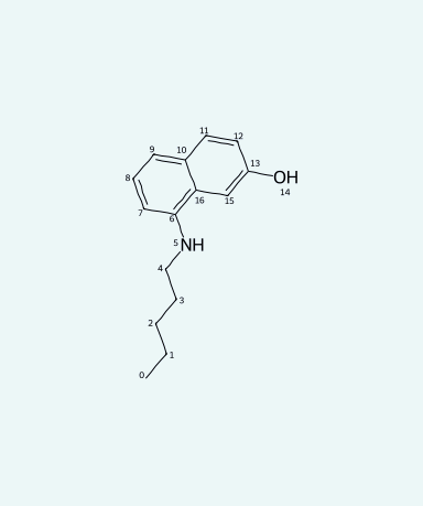 CCCCCNc1cccc2ccc(O)cc12